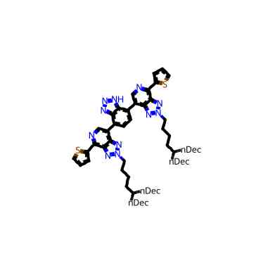 CCCCCCCCCCC(CCCCCCCCCC)CCCCn1nc2c(-c3ccc(-c4cnc(-c5cccs5)c5nn(CCCCC(CCCCCCCCCC)CCCCCCCCCC)nc45)c4[nH]nnc34)cnc(-c3cccs3)c2n1